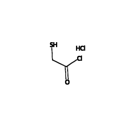 Cl.O=C(Cl)CS